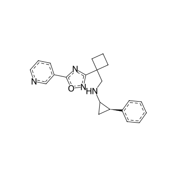 c1ccc([C@H]2CC2NCC2(c3noc(-c4cccnc4)n3)CCC2)cc1